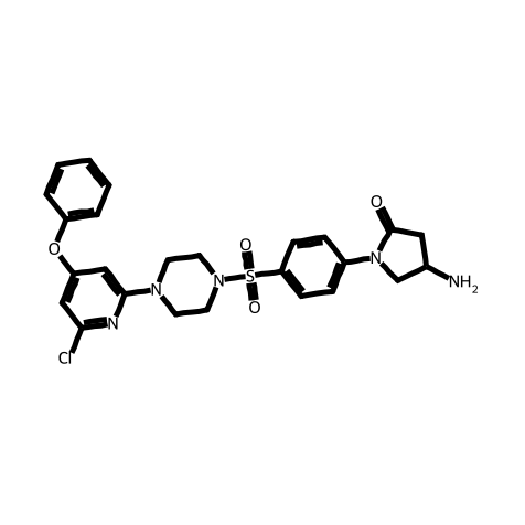 NC1CC(=O)N(c2ccc(S(=O)(=O)N3CCN(c4cc(Oc5ccccc5)cc(Cl)n4)CC3)cc2)C1